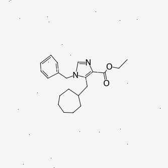 CCOC(=O)c1ncn(Cc2ccccc2)c1CC1CCCCCC1